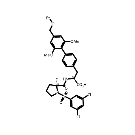 CCOCc1cc(OC)c(-c2ccc(C[C@H](NC(=O)[C@]3(C)CCCN3S(=O)(=O)c3cc(Cl)cc(Cl)c3)C(=O)O)cc2)c(OC)c1